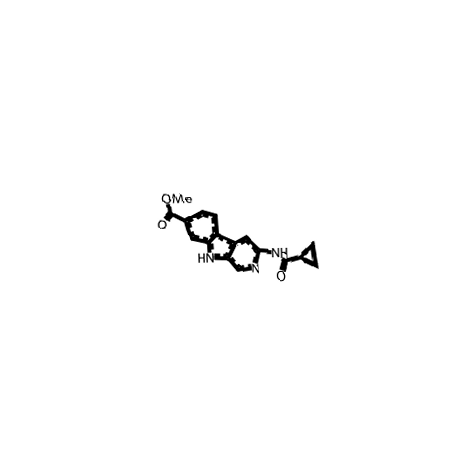 COC(=O)c1ccc2c(c1)[nH]c1cnc(NC(=O)C3CC3)cc12